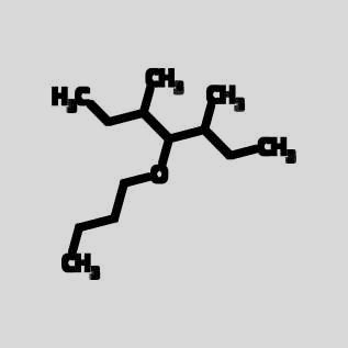 CCCCOC(C(C)CC)C(C)CC